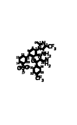 Cc1nc(C(F)(F)F)cn1-c1ccc(-c2cccc(S(C)(=O)=O)c2)cc1N(N)/C(=C\N)C(=O)c1ccc(C(F)(F)F)cc1